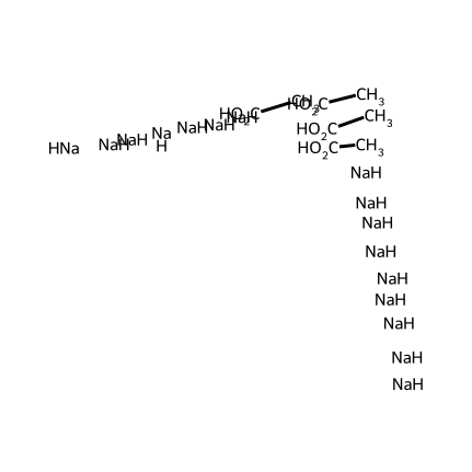 CC(=O)O.CC(=O)O.CC(=O)O.CC(=O)O.[NaH].[NaH].[NaH].[NaH].[NaH].[NaH].[NaH].[NaH].[NaH].[NaH].[NaH].[NaH].[NaH].[NaH].[NaH].[NaH]